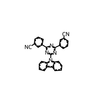 N#Cc1cccc(-c2nc(-c3cccc(C#N)c3)nc(-n3c4ccccc4c4ccccc43)n2)c1